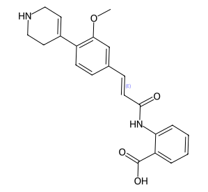 COc1cc(/C=C/C(=O)Nc2ccccc2C(=O)O)ccc1C1=CCNCC1